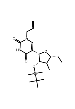 C=CCn1cc([C@@H]2O[C@H](CC)C(C)[C@@H]2O[Si](C)(C)C(C)(C)C)c(=O)[nH]c1=O